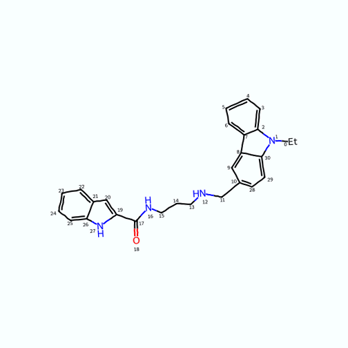 CCn1c2ccccc2c2cc(CNCCCNC(=O)c3cc4ccccc4[nH]3)ccc21